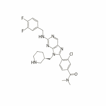 CN(C)C(=O)c1ccc(-c2nc3cnc(NCc4ccc(F)c(F)c4)nc3n2C[C@@H]2CCCNC2)c(Cl)c1